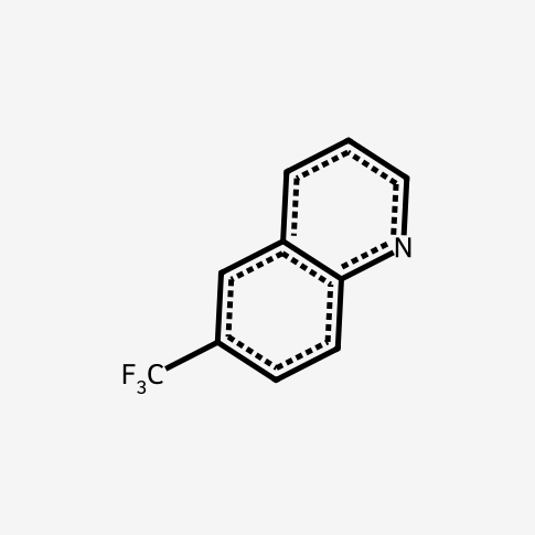 FC(F)(F)c1ccc2ncccc2c1